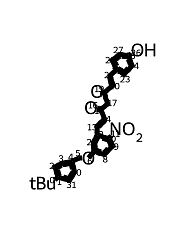 CC(C)(C)c1ccc(COc2ccc([N+](=O)[O-])c(/C=C/C(=O)CC(=O)/C=C/c3ccc(O)cc3)c2)cc1